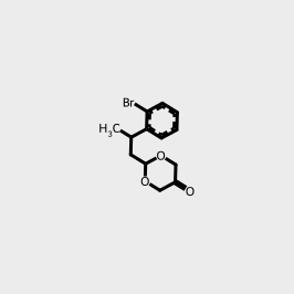 CC(CC1OCC(=O)CO1)c1ccccc1Br